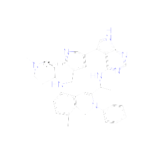 COc1ncc(-c2c[nH]c3ncnc(NC(C)C4=Cc5cccc(C)c5CN4c4ccccc4)c23)cc1CNC1CCN(C)CC1